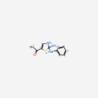 CC(C)(C)C(=O)C1=CNC(N)(Nc2ccccc2)S1